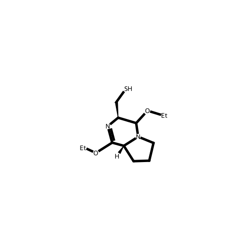 CCOC1=N[C@@H](CS)C(OCC)N2CCC[C@H]12